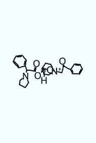 O=C(C[N+]12CCC(CC1)[C@@H](OC(=O)C(c1ccccc1)N1CCCC1)C2)c1ccccc1